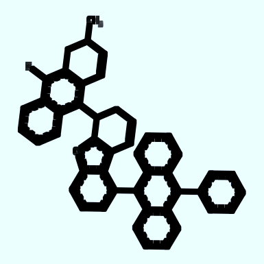 CC1C=Cc2c(c(F)c3ccccc3c2C2CC=Cc3c2oc2cccc(-c4c5ccccc5c(-c5ccccc5)c5ccccc45)c32)C1